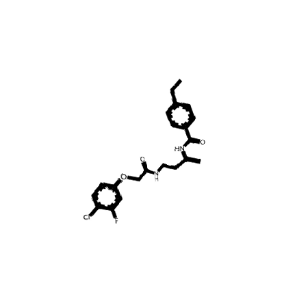 C=C(CCNC(=O)COc1ccc(Cl)c(F)c1)NC(=O)c1ccc(CC)cc1